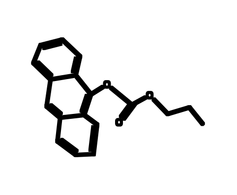 CCCOC(=O)Oc1c2ccccc2cc2ccccc12